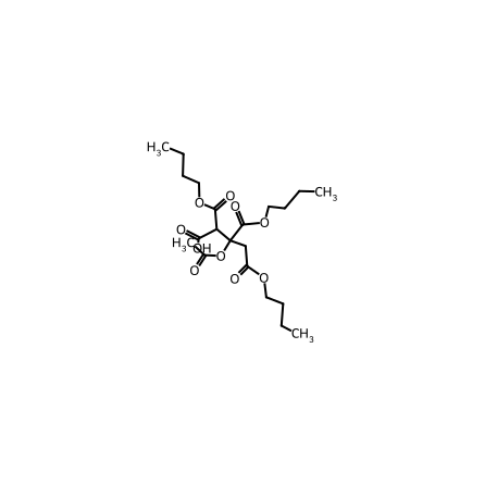 CCCCOC(=O)CC(OC(C)=O)(C(=O)OCCCC)C(C(=O)O)C(=O)OCCCC